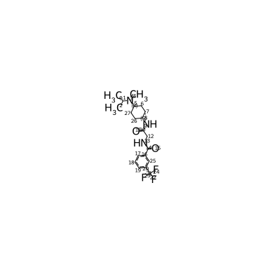 CC(C)N(C)[C@@H]1C[CH][C@H](NC(=O)CNC(=O)c2cccc(C(F)(F)F)c2)CC1